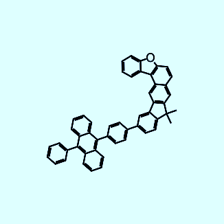 CC1(C)c2ccc(-c3ccc(-c4c5ccccc5c(-c5ccccc5)c5ccccc45)cc3)cc2-c2cc3c(ccc4oc5ccccc5c43)cc21